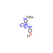 CCOc1ccc(NC2=N[N+]3(c4ccc(OC)nc4)C=CN=CC3=N2)cc1